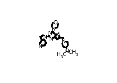 CN(C)C1CCN(Cc2cc3nc(-n4ccc5cnccc54)nc(N4CCOCC4)c3s2)CC1